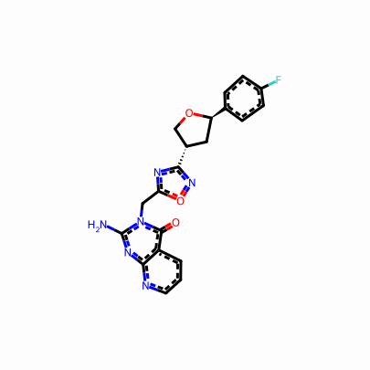 Nc1nc2ncccc2c(=O)n1Cc1nc([C@@H]2CO[C@@H](c3ccc(F)cc3)C2)no1